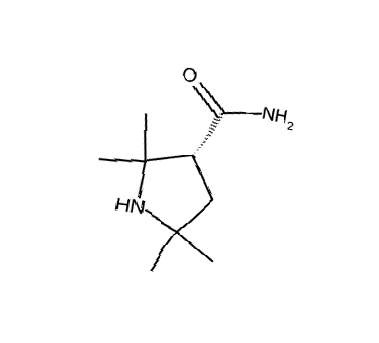 CC1(C)C[C@@H](C(N)=O)C(C)(C)N1